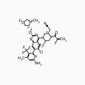 C=C(F)C(=O)N1CC(C)N(c2nc(OC[C@@H]3C[C@@H](F)CN3C)nc3cc(-c4nc(N)cc(C)c4C(F)(F)F)c(Cl)cc23)C[C@H]1CC#N